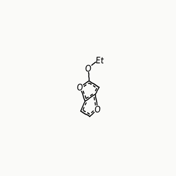 CCOc1cc2occc2o1